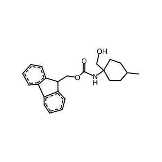 CC1CCC(CO)(NC(=O)OCC2c3ccccc3-c3ccccc32)CC1